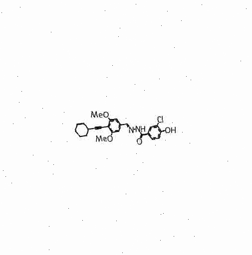 COc1cc(/C=N/NC(=O)c2ccc(O)c(Cl)c2)cc(OC)c1C#CC1CCCCC1